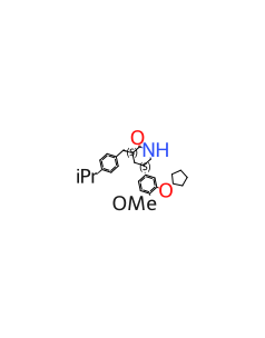 COc1ccc([C@H]2CNC(=O)[C@H](Cc3ccc(C(C)C)cc3)C2)cc1OC1CCCC1